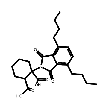 CCCCc1ccc(CCCC)c2c1C(=O)N(C1(C(=O)O)CCCCC1C(=O)O)C2=O